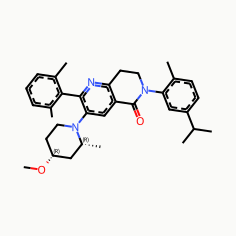 CO[C@@H]1CCN(c2cc3c(nc2-c2c(C)cccc2C)CCN(c2cc(C(C)C)ccc2C)C3=O)[C@H](C)C1